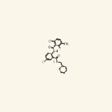 Cc1ccc(Cl)c(C(=O)Nc2ccc(Cl)cc2C(=O)NCC2CCCCC2)c1F